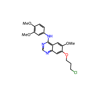 COc1ccc(Nc2ncnc3cc(OCCCCl)c(OC)cc23)cc1OC